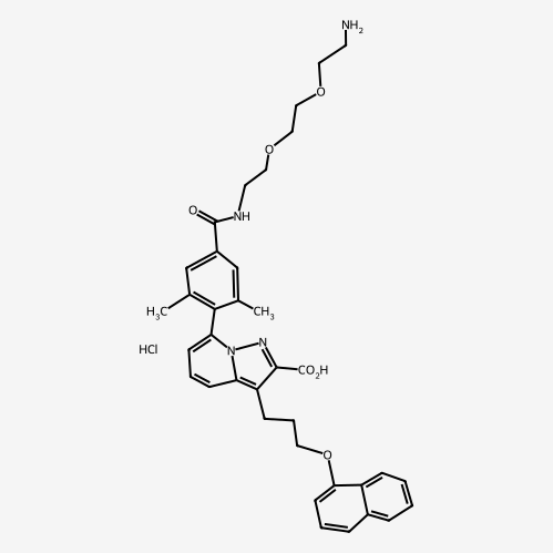 Cc1cc(C(=O)NCCOCCOCCN)cc(C)c1-c1cccc2c(CCCOc3cccc4ccccc34)c(C(=O)O)nn12.Cl